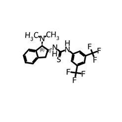 CN(C)[C@@H]1c2ccccc2C[C@H]1NC(=S)Nc1cc(C(F)(F)F)cc(C(F)(F)F)c1